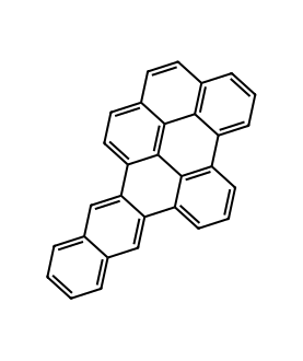 c1ccc2cc3c(cc2c1)c1cccc2c4cccc5ccc6ccc3c(c12)c6c54